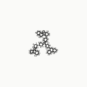 c1cc(-c2ccc(N(c3ccc(-c4cc5ccccc5c5ccccc45)cc3)c3ccc(-c4cccc5oc6c7ccccc7ccc6c45)cc3)cc2)cc(-n2c3ccccc3c3ccccc32)c1